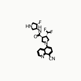 N#Cc1ccc(N2C[C@@H](C(=O)N[C@H]3CNC[C@@H]3F)[C@H](C(F)F)C2)c2cccnc12